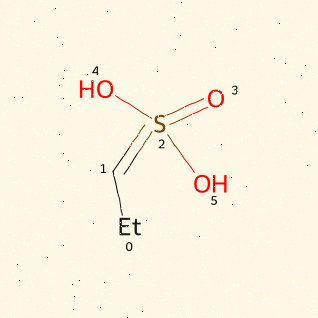 CCC=S(=O)(O)O